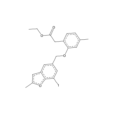 CCOC(=O)Cc1ccc(C)cc1OCc1cc(I)c2oc(C)cc2c1